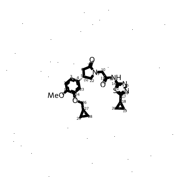 COc1ccc([C@@H]2CC(=O)N(CC(=O)Nc3nnc(C4CC4)s3)C2)cc1OCC1CC1